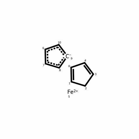 C1=CCC=C1.[Fe+2].c1cc[cH-]c1